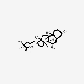 CC(C(=O)O)[C@@](C)(O)CCC[C@H]1CC[C@H]2[C@@H]3[C@H](O)C=C4C[C@@H](O)CCC4(C)[C@H]3CCC12C